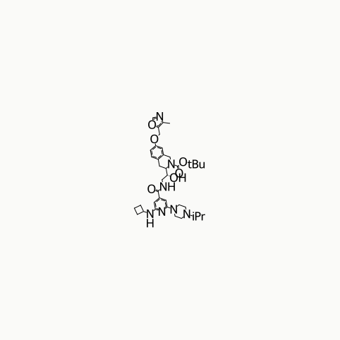 Cc1ncoc1COc1ccc2c(c1)CN(C(=O)OC(C)(C)C)C([C@H](O)CNC(=O)c1cc(NC3CCC3)nc(N3CCN(C(C)C)CC3)c1)C2